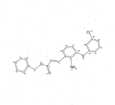 Nc1c(C=CC(=O)OCc2ccccc2)cccc1Oc1cccc(Cl)c1